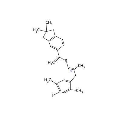 C=C(S/C=C(\C)Cc1cc(C)c(I)cc1C)c1ccc2c(c1)CC(C)(C)C2